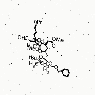 CCC/C=C/C=C/C(=O)O[C@H]1/C(=C/C(=O)OC)C[C@@H](C[C@@H](O[Si](C)(C)C(C)(C)C)[C@@H](C)OCOCc2ccccc2)O[C@@]1(OC)C(C)(C)/C=C/C=O